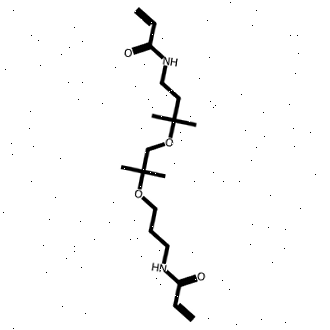 C=CC(=O)NCCCOC(C)(C)COC(C)(C)CCNC(=O)C=C